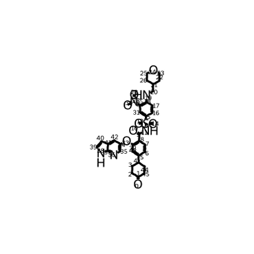 O=C1CCC(c2ccc(C(=O)NS(=O)(=O)c3ccc(NCC4CCOCC4)c([N+](=O)[O-])c3)c(Oc3cnc4[nH]ccc4c3)c2)CC1